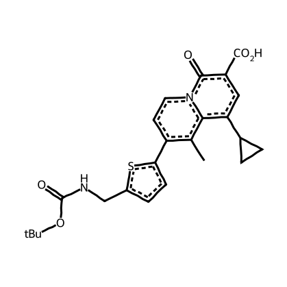 Cc1c(-c2ccc(CNC(=O)OC(C)(C)C)s2)ccn2c(=O)c(C(=O)O)cc(C3CC3)c12